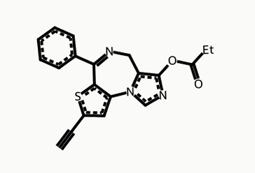 C#Cc1cc2c(s1)C(c1ccccc1)=NCc1c(OC(=O)CC)ncn1-2